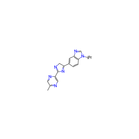 Cc1cnc(C2=NCC(c3ccc4c(c3)ncn4C(C)C)=N2)cn1